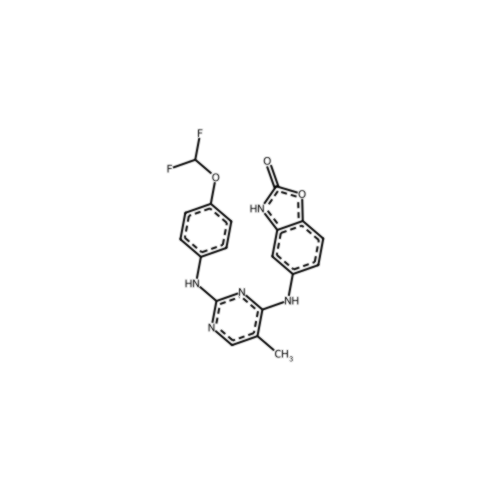 Cc1cnc(Nc2ccc(OC(F)F)cc2)nc1Nc1ccc2oc(=O)[nH]c2c1